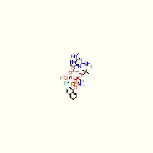 CC[C@@H](O[C@@H]1C(O[P@](=O)(N[C@H](C)C(=O)OCC(C)(C)C)Oc2cccc3ccccc23)[C@]1(O)CF)n1cnc2c(NC)nc(N)nc21